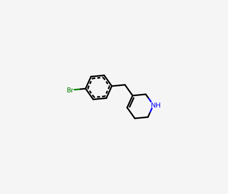 Brc1ccc(CC2=CCCNC2)cc1